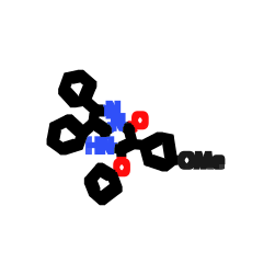 COc1ccc(-c2c(Oc3ccccc3)[nH]c3c(-c4ccccc4)c(-c4ccccc4)nn3c2=O)cc1